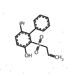 C=CCS(=O)(=O)c1c(O)ccc(C(C)C)c1-c1ccccc1